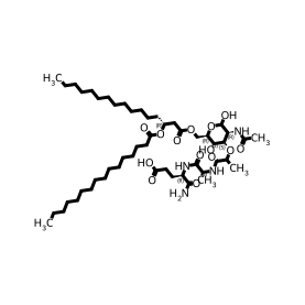 CCCCCCCCCCCCCCCC(=O)O[C@H](CCCCCCCCCCCCC)CC(=O)OC[C@H]1OC(O)[C@H](NC(C)=O)[C@H](OC(C)C(=O)N[C@@H](C)C(=O)N[C@H](CCC(=O)O)C(N)=O)[C@@H]1O